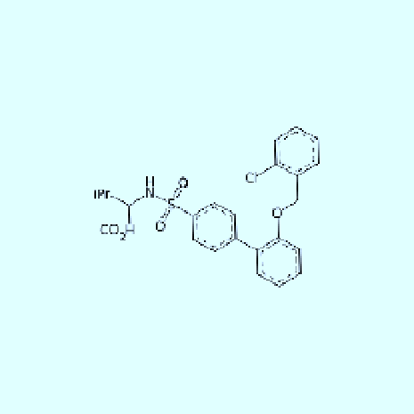 CC(C)C(NS(=O)(=O)c1ccc(-c2ccccc2OCc2ccccc2Cl)cc1)C(=O)O